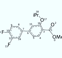 COC(=O)c1ccc(-c2ccc(F)c(F)c2)cc1OC(C)C